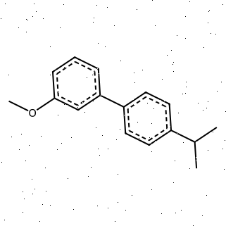 COc1cccc(-c2ccc(C(C)C)cc2)c1